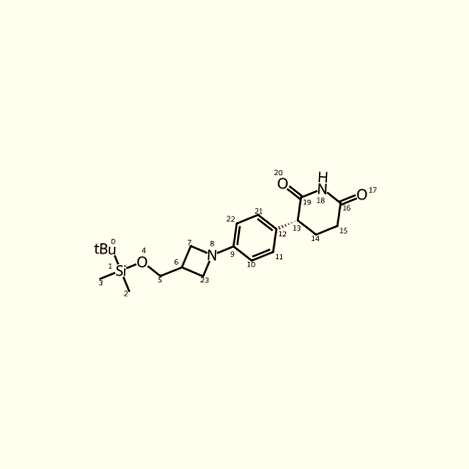 CC(C)(C)[Si](C)(C)OCC1CN(c2ccc([C@H]3CCC(=O)NC3=O)cc2)C1